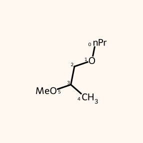 CCCOCC(C)OC